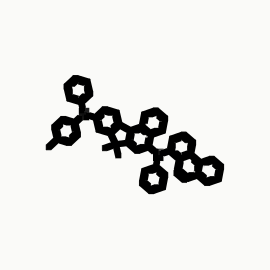 Cc1ccc(N(c2ccccc2)c2ccc3c(c2)C(C)(C)c2cc(N(c4ccccc4)c4cccc5c4c#cc4ccccc45)c4ccccc4c2-3)cc1